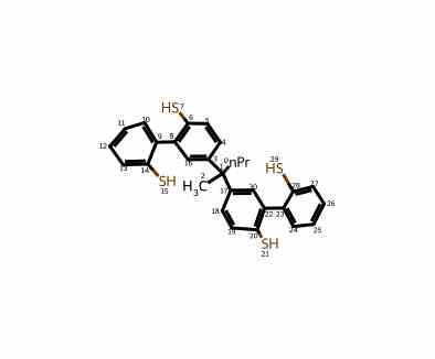 CCCC(C)(c1ccc(S)c(-c2ccccc2S)c1)c1ccc(S)c(-c2ccccc2S)c1